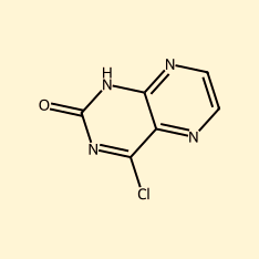 O=c1nc(Cl)c2nccnc2[nH]1